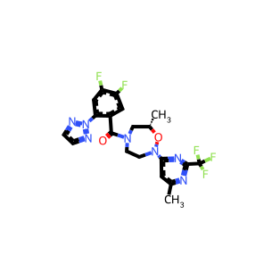 Cc1cc(N2CCN(C(=O)c3cc(F)c(F)cc3-n3nccn3)C[C@H](C)O2)nc(C(F)(F)F)n1